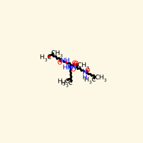 CCC(C)CCCCC(=O)NCCCCC(NC(=O)CCCCC(CC)CC)C(=O)NC(CCCCNC(=O)CCCCC(C)C)C(C)=O